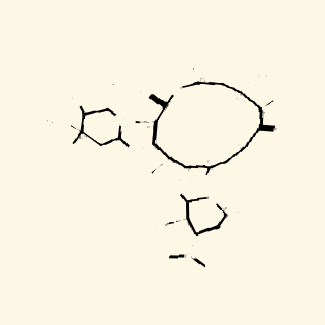 CC[C@@H]1C[C@H](O)[C@@H](C)C(=O)[C@H](C)C[C@@](C)(O)[C@H](OC2O[C@H](C)C[C@H](N(C)C)[C@H]2O)[C@@H](C)[C@H](OC2C[C@@](C)(OC)C(O)[C@H](C)O2)[C@@H](C)C(=O)O1